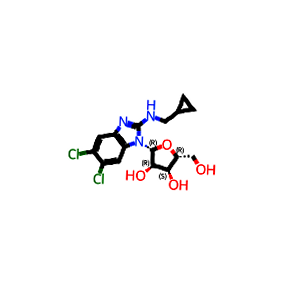 OC[C@H]1O[C@@H](n2c(NCC3CC3)nc3cc(Cl)c(Cl)cc32)[C@H](O)[C@@H]1O